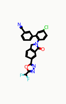 N#Cc1cccc(-c2cc(Cl)ccc2N2Cc3ccc(-c4nnc(C(F)F)o4)cc3C2=O)c1